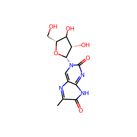 Cc1nc2cn([C@@H]3O[C@H](CO)C(O)[C@@H]3O)c(=O)nc2[nH]c1=O